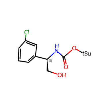 CC(C)(C)OC(=O)N[C@@H](CO)c1cccc(Cl)c1